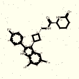 O=C1CCC[C@@H](C(=O)NC[C@H]2C[C@H](c3c(-c4ccc(F)cc4)[nH]c4c(F)cc(F)cc43)C2)N1